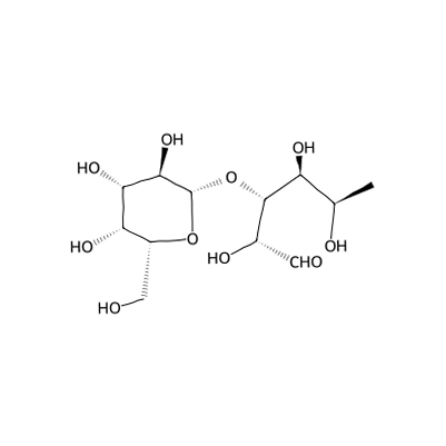 C[C@@H](O)[C@H](O)[C@@H](O[C@@H]1O[C@H](CO)[C@H](O)[C@H](O)[C@H]1O)[C@@H](O)C=O